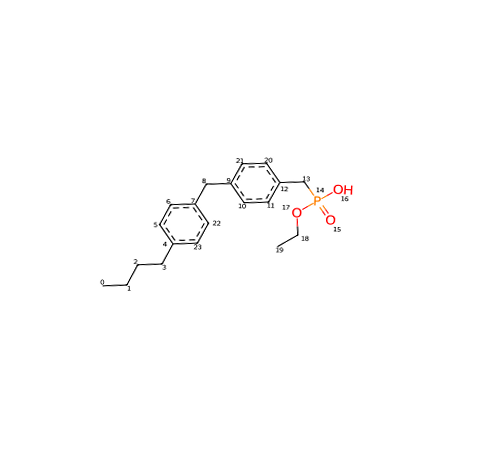 CCCCc1ccc(Cc2ccc(CP(=O)(O)OCC)cc2)cc1